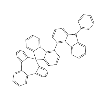 c1ccc(-n2c3ccccc3c3c(-c4cccc5c4-c4ccccc4C54c5ccccc5-c5ccccc5-c5ccccc54)cccc32)cc1